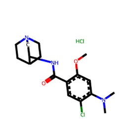 COc1cc(N(C)C)c(Cl)cc1C(=O)NC1CN2CCC1CC2.Cl